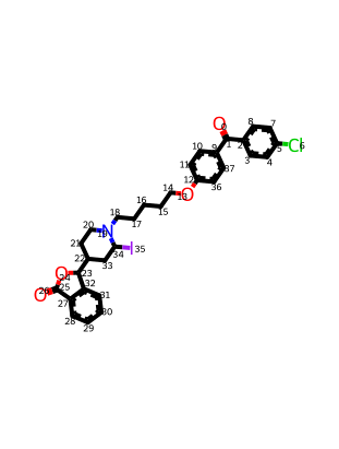 O=C(c1ccc(Cl)cc1)c1ccc(OCCCCCN2CCC(C3OC(=O)c4ccccc43)CC2I)cc1